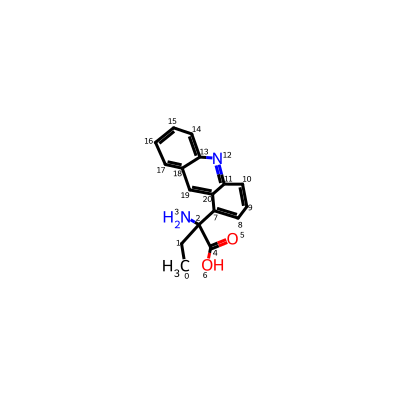 CCC(N)(C(=O)O)c1cccc2nc3ccccc3cc12